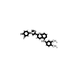 Cc1ccc(Nc2cccc3nc(-c4cn(-c5ccc(F)c(F)c5)nn4)ccc23)cc1C